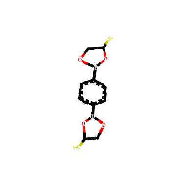 SC1COB(c2ccc(B3OCC(S)O3)cc2)O1